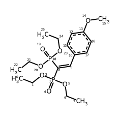 CCOP(=O)(OCC)C(=Cc1ccc(OC)cc1)P(=O)(OCC)OCC